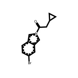 O=C(CC1CC1)n1cc2ccc(Br)cc2c1